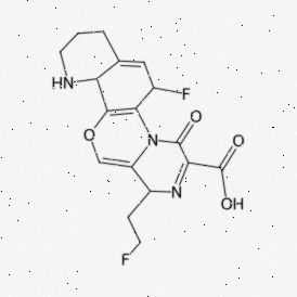 O=C(O)C1=NC(CCF)C2=COC3=C(C(F)C=C4CCCNC43)N2C1=O